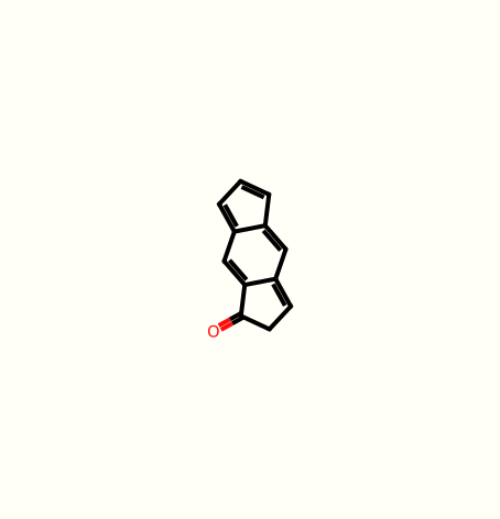 O=C1CC=c2cc3c(cc21)=CC=C3